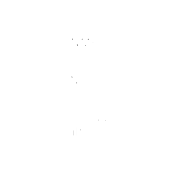 CNCCN1CCC(C(=O)C(C)C)CC1